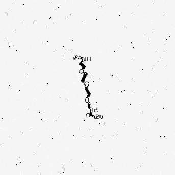 CC(C)NCCOCCOCCOCCNC(=O)C(C)(C)C